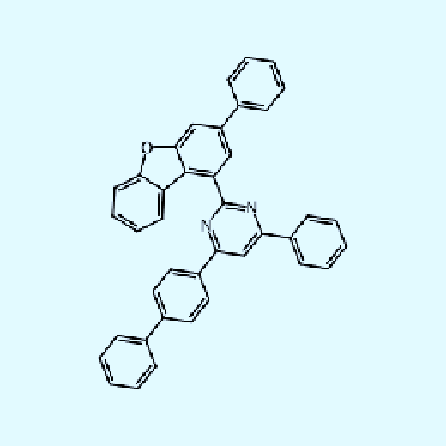 c1ccc(-c2ccc(-c3cc(-c4ccccc4)nc(-c4cc(-c5ccccc5)cc5oc6ccccc6c45)n3)cc2)cc1